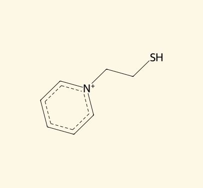 SCC[n+]1ccccc1